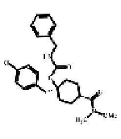 CON(C)C(=O)[C@H]1CC[C@@](Cc2ccc(Cl)cc2)(OC(=O)NCc2ccccc2)CC1